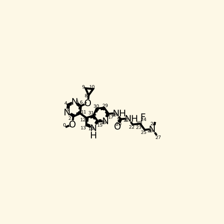 COc1ncnc(OC2CC2)c1-c1c[nH]c2nc(NC(=O)NC[C@H](F)CN(C)C)ccc12